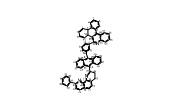 C1=CC2c3ccccc3-c3c(c(-c4cccc(-c5c6ccccc6c(C6=Nc7c(ccc8ccc(-c9ccccc9)nc78)CC6)c6ccccc56)c4)nc4ccccc34)C2C=C1